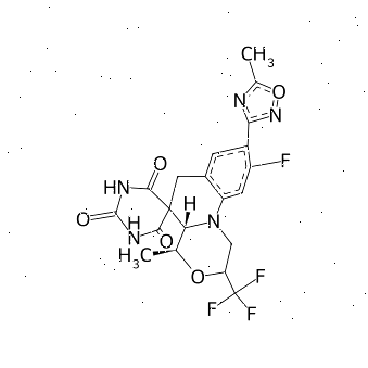 Cc1nc(-c2cc3c(cc2F)N2CC(C(F)(F)F)O[C@@H](C)[C@@H]2C2(C3)C(=O)NC(=O)NC2=O)no1